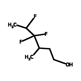 CC(F)C(F)(F)C(C)CCO